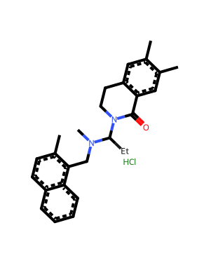 CCC(N(C)Cc1c(C)ccc2ccccc12)N1CCc2cc(C)c(C)cc2C1=O.Cl